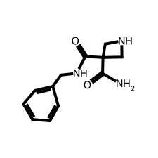 NC(=O)C1(C(=O)NCc2ccccc2)CNC1